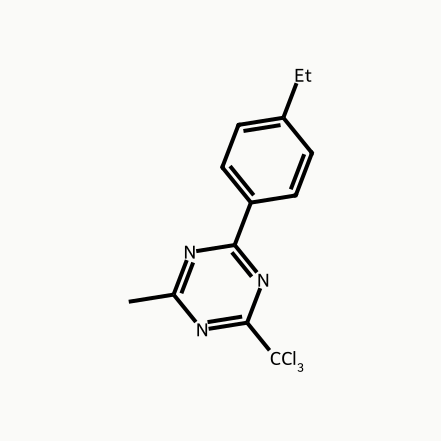 CCc1ccc(-c2nc(C)nc(C(Cl)(Cl)Cl)n2)cc1